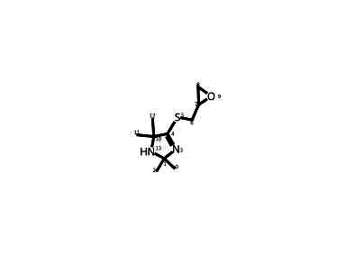 CC1(C)N=C(SCC2CO2)C(C)(C)N1